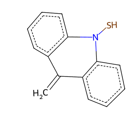 C=C1c2ccccc2N(S)c2ccccc21